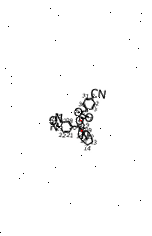 N#Cc1ccc(S(=O)(=O)CCCN2C3CCC2CN(C(=O)c2ccc4nonc4c2)C3)cc1